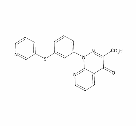 O=C(O)c1nn(-c2cccc(Sc3cccnc3)c2)c2ncccc2c1=O